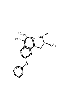 CCCC(=O)N(C)Cc1nc(C(=O)OCC)c(O)c2ccc(Oc3ccccc3)cc12